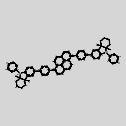 CC12CCCCC1(C)N(c1ccccc1)c1ccc(-c3ccc(-c4ccc5ccc6c(-c7ccc(-c8ccc9c(c8)C8(C)CCCCC8(C)N9c8ccccc8)cc7)ccc7ccc4c5c76)cc3)cc12